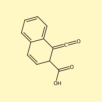 O=C=C1c2ccccc2C=CC1C(=O)O